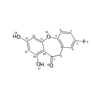 O=C1Cc2cc(F)ccc2Oc2cc(O)cc(O)c21